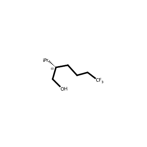 CC(C)[C@@H](CO)CCCC(F)(F)F